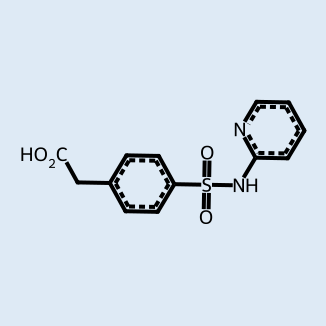 O=C(O)Cc1ccc(S(=O)(=O)Nc2ccccn2)cc1